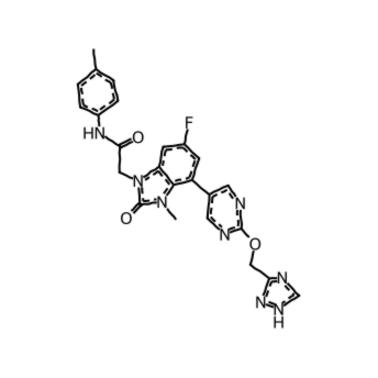 Cc1ccc(NC(=O)Cn2c(=O)n(C)c3c(-c4cnc(OCc5nc[nH]n5)nc4)cc(F)cc32)cc1